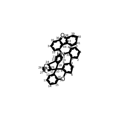 c1ccc(-c2ccc3c(c2)C2(c4ccccc4O3)c3ccccc3-c3ccccc32)c(Nc2cccc3oc4ccccc4c23)c1